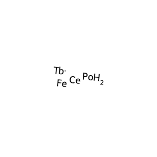 [Ce].[Fe].[PoH2].[Tb]